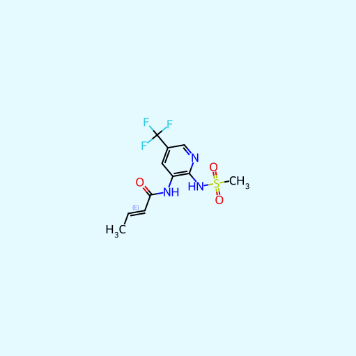 C/C=C/C(=O)Nc1cc(C(F)(F)F)cnc1NS(C)(=O)=O